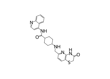 O=C1CSc2ccc(CNC3CCC(C(=O)Nc4ccnc5ccccc45)CC3)nc2N1